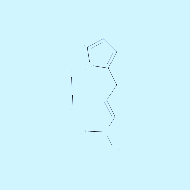 CC(C)(C)P(C=CCc1cccs1)C(C)(C)C.[Cl][Pd][Cl]